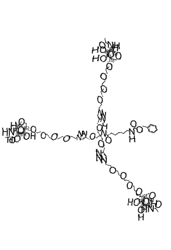 CC(=O)N[C@H]1[C@H]2OC[C@](COCCOCCOCCOCCn3cc(COCC(COCc4cn(CCOCCOCCOCCOC[C@@]56CO[C@@H](O5)[C@H](NC(C)=O)[C@@H](O)[C@H]6O)nn4)(COCc4cn(CCOCCOCCOCCOC[C@@]56CO[C@@H](O5)[C@H](NC(C)=O)[C@@H](O)[C@H]6O)nn4)NC(=O)CCCCCNC(=O)OCc4ccccc4)nn3)(O2)[C@H](O)[C@@H]1O